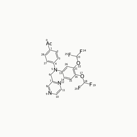 CC(=O)c1ccc(N(Cc2cnccn2)c2ccc(OC(F)F)c(OC(F)F)c2)cc1